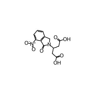 O=C(O)CC(CC(=O)O)N1Cc2cccc([N+](=O)[O-])c2C1=O